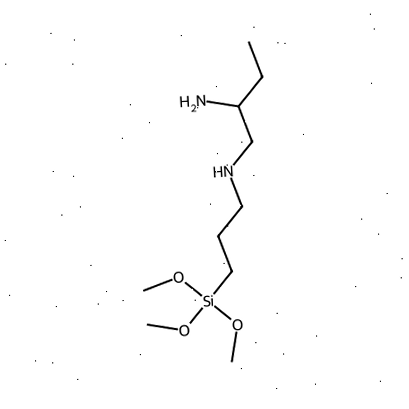 CCC(N)CNCCC[Si](OC)(OC)OC